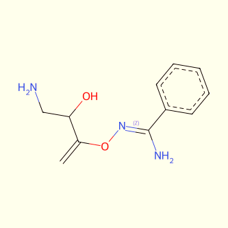 C=C(O/N=C(\N)c1ccccc1)C(O)CN